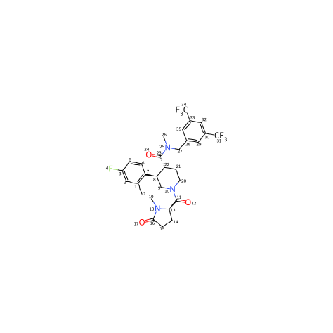 Cc1cc(F)ccc1[C@@H]1CN(C(=O)[C@H]2CCC(=O)N2C)CC[C@H]1C(=O)N(C)Cc1cc(C(F)(F)F)cc(C(F)(F)F)c1